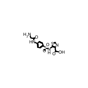 NCC(=O)Nc1ccc(S(=O)(=O)Nc2scnc2C(=O)O)cc1